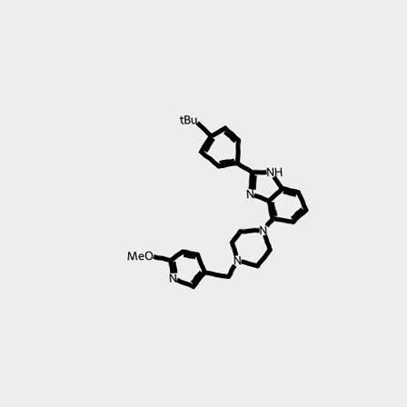 COc1ccc(CN2CCN(c3cccc4[nH]c(-c5ccc(C(C)(C)C)cc5)nc34)CC2)cn1